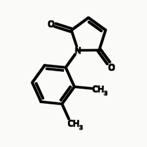 Cc1cccc(N2C(=O)C=CC2=O)c1C